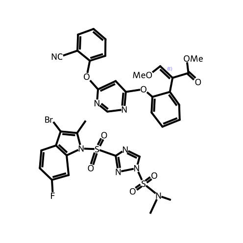 CO/C=C(/C(=O)OC)c1ccccc1Oc1cc(Oc2ccccc2C#N)ncn1.Cc1c(Br)c2ccc(F)cc2n1S(=O)(=O)c1ncn(S(=O)(=O)N(C)C)n1